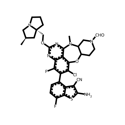 C[C@H]1CN2CCC[C@@]2(COc2nc3c4c(c(Cl)c(-c5ccc(F)c6sc(N)c(C#N)c56)c(F)c4n2)OC2CCN(C=O)CC2N3C)C1